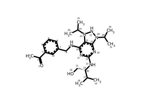 CC(=O)c1cccc(CNc2nc(N[C@@H](CO)C(C)C)nc3c2N(C(C)C)NN3C(C)C)c1